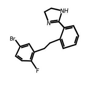 Fc1ccc(Br)cc1CCc1ccccc1C1=NCCN1